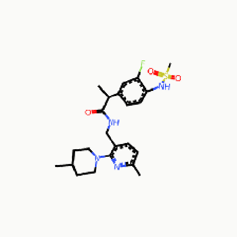 Cc1ccc(CNC(=O)C(C)c2ccc(NS(C)(=O)=O)c(F)c2)c(N2CCC(C)CC2)n1